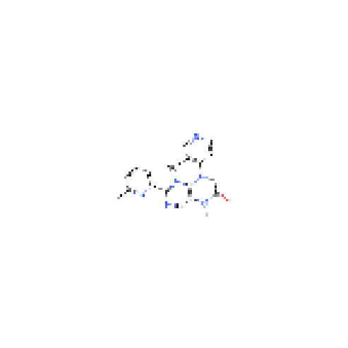 Cc1cccc(-c2ncc3c(n2)N(c2ccncc2C#N)CC(=O)N3C)n1